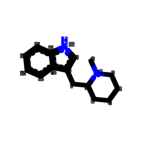 CN1CCCCC1Cc1c[nH]c2ccccc12